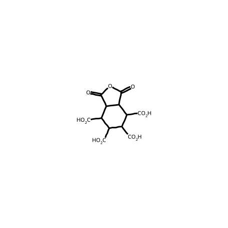 O=C(O)C1C(C(=O)O)C(C(=O)O)C2C(=O)OC(=O)C2C1C(=O)O